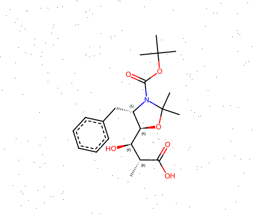 C[C@@H](C(=O)O)[C@@H](O)[C@@H]1OC(C)(C)N(C(=O)OC(C)(C)C)[C@H]1Cc1ccccc1